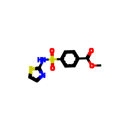 COC(=O)c1ccc(S(=O)(=O)Nc2nccs2)cc1